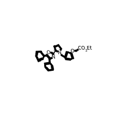 CCOC(=O)COc1cccc(CN2CCC[C@@H]2c2nc(-c3ccccc3)c(-c3ccccc3)o2)c1